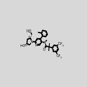 Cc1ccccc1-c1cc(N2C[C@@H](O)C[C@@H]2CO)ncc1N(C)C(=O)C(C)(C)c1cc(C(F)(F)F)cc(C(F)(F)F)c1